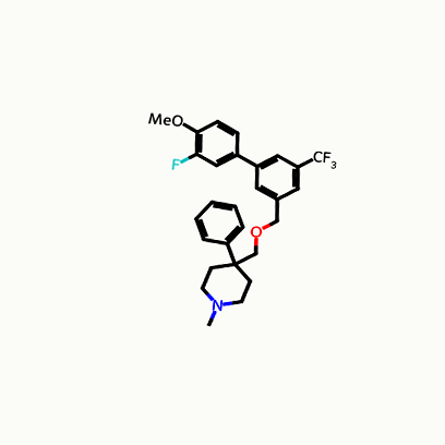 COc1ccc(-c2cc(COCC3(c4ccccc4)CCN(C)CC3)cc(C(F)(F)F)c2)cc1F